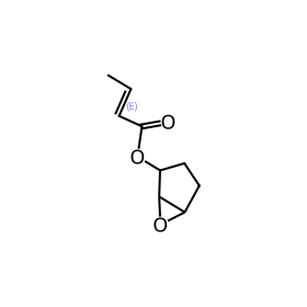 C/C=C/C(=O)OC1CCC2OC12